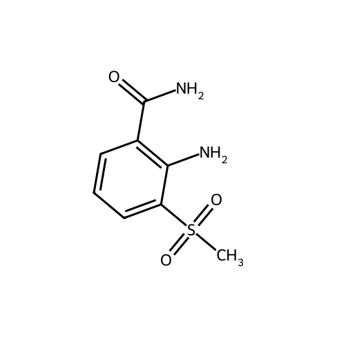 CS(=O)(=O)c1cccc(C(N)=O)c1N